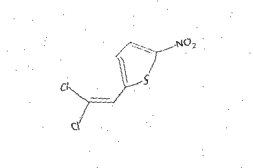 O=[N+]([O-])c1ccc(C=C(Cl)Cl)s1